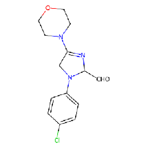 O=CC1N=C(N2CCOCC2)CN1c1ccc(Cl)cc1